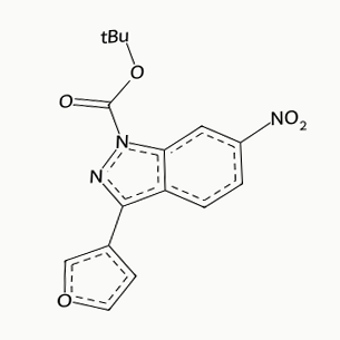 CC(C)(C)OC(=O)n1nc(-c2ccoc2)c2ccc([N+](=O)[O-])cc21